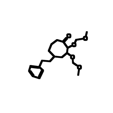 COCOC1CC(CCc2ccccc2)CCCC(=O)C1OCOC